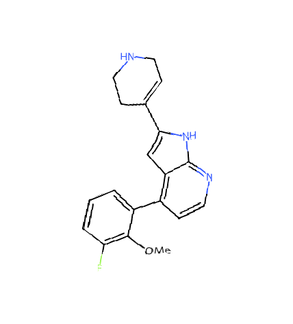 COc1c(F)cccc1-c1ccnc2[nH]c(C3=CCNCC3)cc12